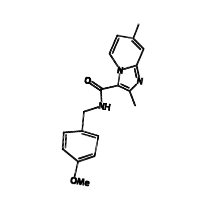 COc1ccc(CNC(=O)c2c(C)nc3cc(C)ccn23)cc1